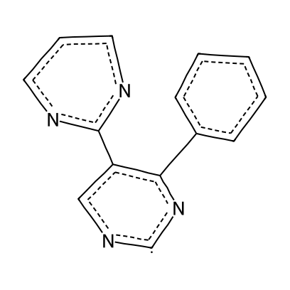 [c]1ncc(-c2ncccn2)c(-c2ccccc2)n1